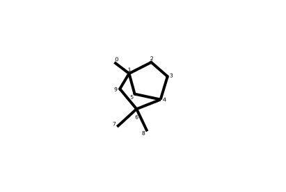 CC12CCC(C1)C(C)(C)C2